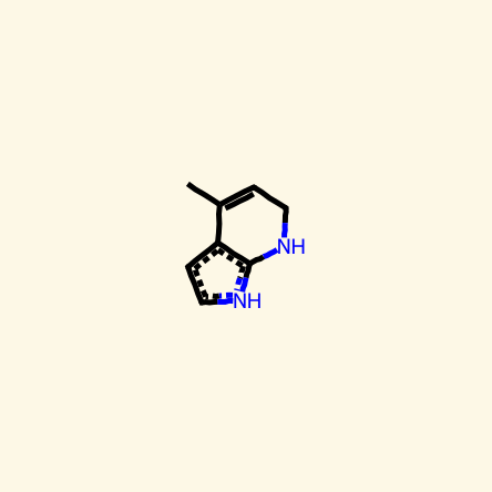 CC1=CCNc2[nH]ccc21